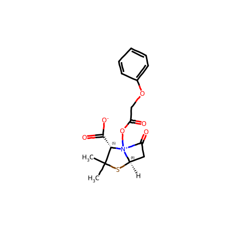 CC1(C)S[C@@H]2CC(=O)[N+]2(OC(=O)COc2ccccc2)[C@H]1C(=O)[O-]